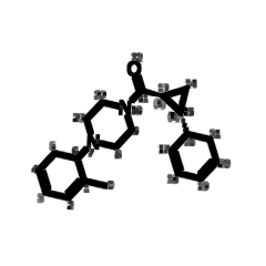 CC1=CC=CCC1N1CCN(C(=O)[C@H]2C[C@@H]2C2C=CC=CC2)CC1